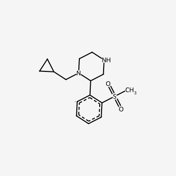 CS(=O)(=O)c1ccc[c]c1C1CNCCN1CC1CC1